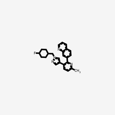 Cc1ccc(-c2cnn(CC3CCC(F)CC3)c2)c(-c2ccc3cccnc3c2)n1